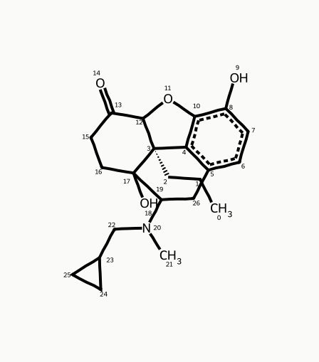 CCC[C@@]12c3c4ccc(O)c3OC1C(=O)CCC2(O)C(N(C)CC1CC1)C4